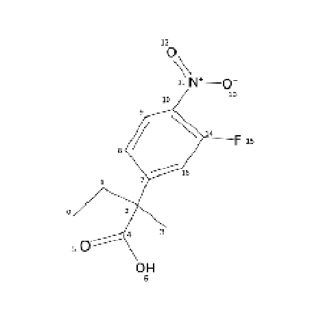 CCC(C)(C(=O)O)c1ccc([N+](=O)[O-])c(F)c1